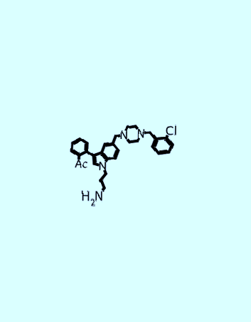 CC(=O)c1ccccc1-c1cn(CCCN)c2ccc(CN3CCN(Cc4ccccc4Cl)CC3)cc12